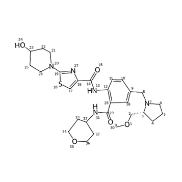 COC[C@H]1CCCN1Cc1ccc(NC(=O)c2csc(N3CCC(O)CC3)n2)c(C(=O)NC2CCOCC2)c1